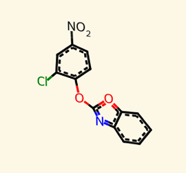 O=[N+]([O-])c1ccc(Oc2nc3ccccc3o2)c(Cl)c1